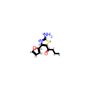 CCCC(=O)c1sc(N)nc1-c1ccco1